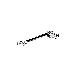 O=C(O)CCCCCCCCCCCCCC(CC(=O)O)[N+](=O)[O-]